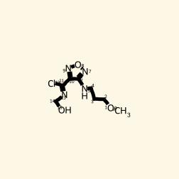 COCCCNc1nonc1/C(Cl)=N/CO